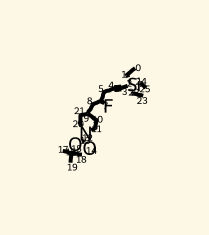 CC[Si](C#CCC(F)CC1CCN(C(=O)OC(C)(C)C)CC1)(CC)CC